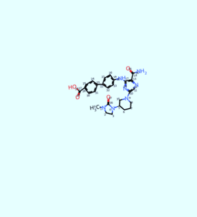 CN1CCN([C@@H]2CCCN(c3cnc(C(N)=O)c(Nc4ccc(-c5ccc(C(=O)O)cc5)cc4)n3)C2)C1=O